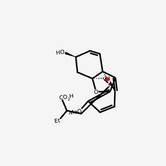 CCC(CN1CC[C@@]23C=C[C@H](O)C[C@@H]2Oc2c(OC)ccc(c23)C1)C(=O)O